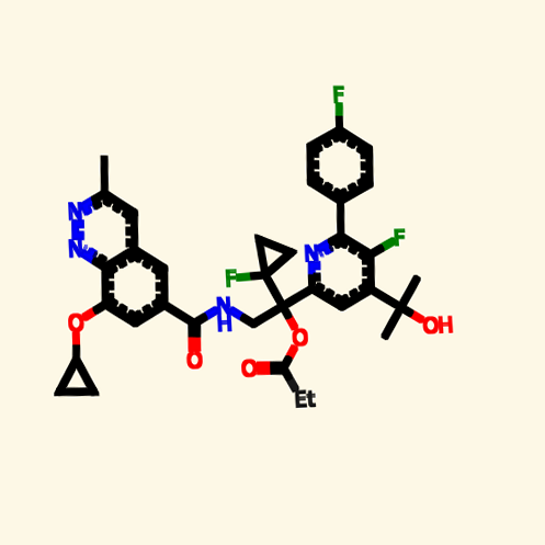 CCC(=O)OC(CNC(=O)c1cc(OC2CC2)c2nnc(C)cc2c1)(c1cc(C(C)(C)O)c(F)c(-c2ccc(F)cc2)n1)C1(F)CC1